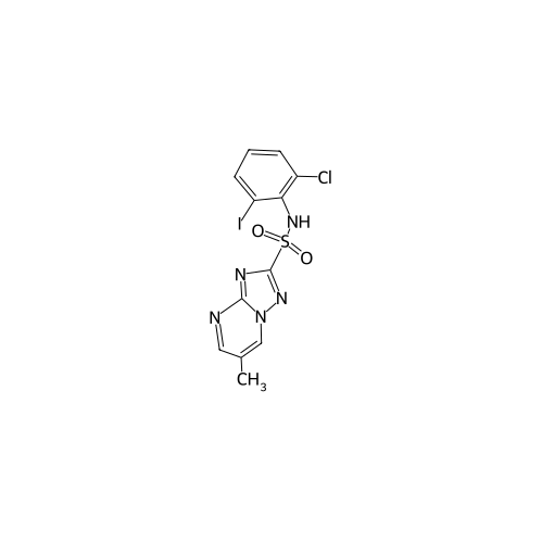 Cc1cnc2nc(S(=O)(=O)Nc3c(Cl)cccc3I)nn2c1